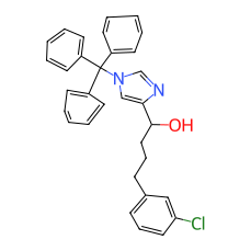 OC(CCCc1cccc(Cl)c1)c1cn(C(c2ccccc2)(c2ccccc2)c2ccccc2)cn1